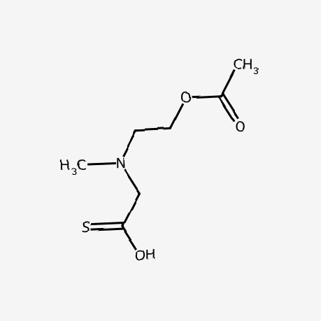 CC(=O)OCCN(C)CC(O)=S